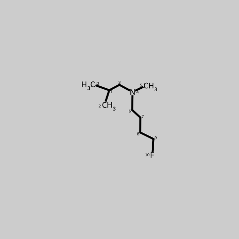 CC(C)CN(C)CCCCF